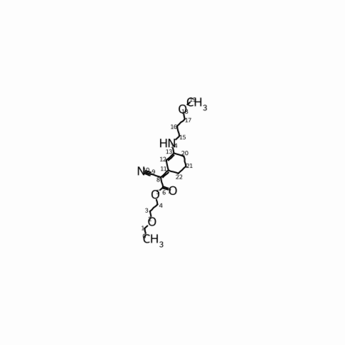 CCOCCOC(=O)C(C#N)=C1C=C(NCCCOC)CCC1